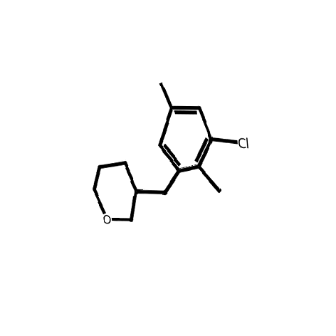 Cc1cc(Cl)c(C)c(CC2CCCOC2)c1